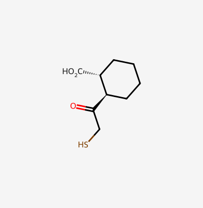 O=C(O)[C@@H]1CCCC[C@H]1C(=O)CS